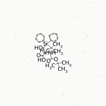 CC(C)(C)OC(=O)N[C@H](C(=O)O)C(O)[Si](c1ccccc1)(c1ccccc1)C(C)(C)C